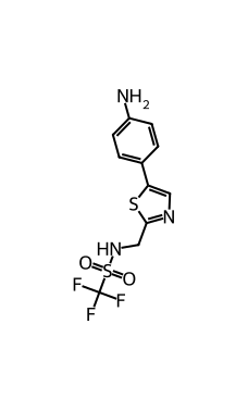 Nc1ccc(-c2cnc(CNS(=O)(=O)C(F)(F)F)s2)cc1